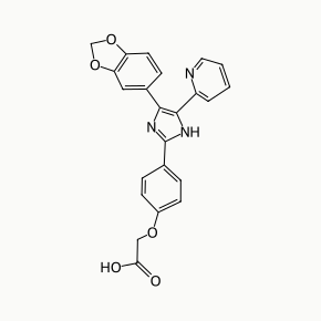 O=C(O)COc1ccc(-c2nc(-c3ccc4c(c3)OCO4)c(-c3ccccn3)[nH]2)cc1